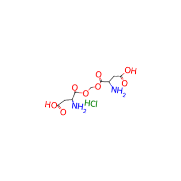 Cl.NC(CC(=O)O)C(=O)OCOC(=O)[C@@H](N)CC(=O)O